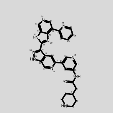 O=C(CC1CCNCC1)Nc1cncc(-c2cc3c(-c4nc5c(-c6ccccn6)cncc5[nH]4)n[nH]c3cn2)c1